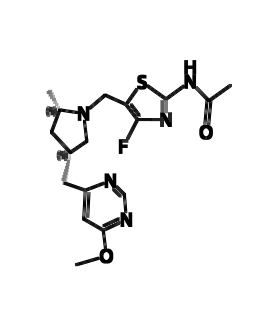 COc1cc(C[C@@H]2C[C@H](C)N(Cc3sc(NC(C)=O)nc3F)C2)ncn1